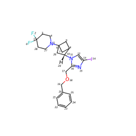 FC1(F)CCN(C23CC(C2)[C@H](n2cc(I)nc2COCc2ccccc2)C3)CC1